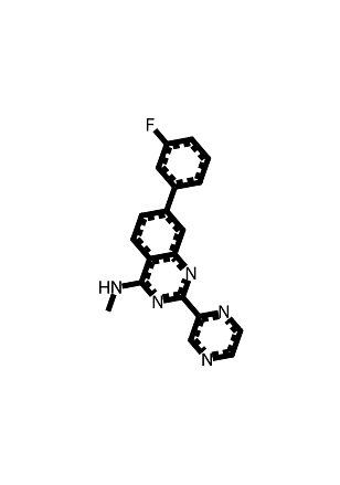 CNc1nc(-c2cnccn2)nc2cc(-c3cccc(F)c3)ccc12